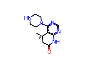 C[C@@H]1CC(=O)Nc2ncnc(N3CCNCC3)c21